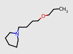 CCCOCCCCN1CCCCC1